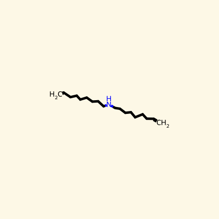 C=CCCCCCCCNCCCCCCCC=C